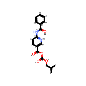 CC(C)COC(=O)OC(=O)c1ccc(NC(=O)c2ccccc2)nc1